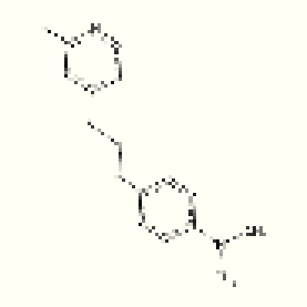 CN(C)c1ccc(C=CCc2ccnc(I)c2)cc1